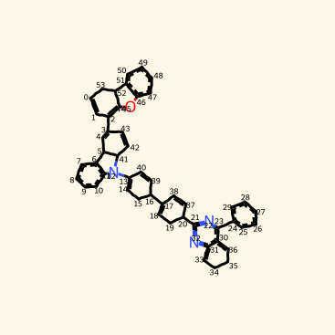 C1=CC(C2=CC3c4ccccc4N(C4=CCC(C5=CCC(c6nc(-c7ccccc7)c7c(n6)=CCCC=7)C=C5)C=C4)C3C=C2)=C2Oc3ccccc3C2C1